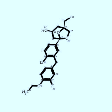 CCOc1ccc(Cc2cc([C@]34C[C@@H](O)C[C@](CF)(CO3)O4)ccc2Cl)cc1F